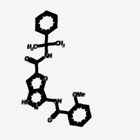 COc1ccccc1C(=O)Nc1n[nH]c2cc(C(=O)NC(C)(C)c3ccccc3)oc12